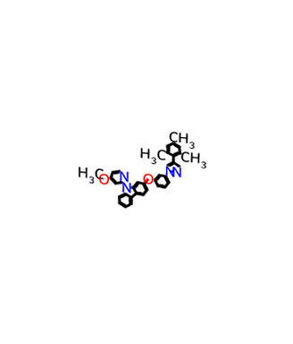 COc1ccnc(-n2c3ccccc3c3ccc(Oc4cccc(-n5cc(-c6c(C)cc(C)cc6C)cn5)c4)cc32)c1